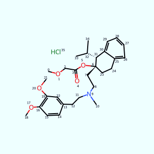 COCC(=O)O[C@@]1(CCN(C)CCc2ccc(OC)c(OC)c2)CCc2ccccc2[C@H]1C(C)C.Cl